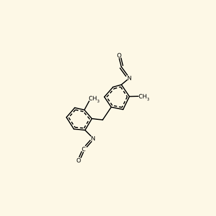 Cc1cc(Cc2c(C)cccc2N=C=O)ccc1N=C=O